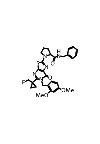 COc1ccc(Cn2c(C3(CF)CC3)nc3sc(N4CCCC4C(=O)NCc4ccccc4)nc3c2=O)c(OC)c1